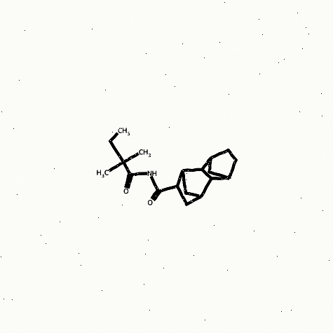 CCC(C)(C)C(=O)NC(=O)C1CC2CC1C1C3CCC(C3)C21